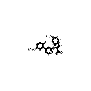 COc1ccc(F)c(-c2ccnc(-n3c(C(N)=O)cc4ccc([N+](=O)[O-])cc43)c2)c1